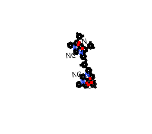 Cc1cc(C)cc(-c2ccc3c(c2)c2ccccc2n3-c2cc(C#N)cc(-n3c4ccc(Cc5cc(C)cc(-c6ccc7c8ccccc8n(-c8cc(C#N)cc(-n9c%10ccccc%10c%10ccc(-c%11cc(C)cc(C)c%11)cc%109)c8-c8cccc(C#N)c8)c7c6)c5)cc4c4cc(-c5cc(C)cc(C)c5)ccc43)c2-c2cccc(C#N)c2)c1